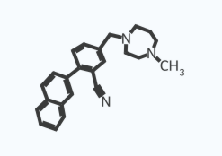 CN1CCCN(Cc2ccc(-c3ccc4ccccc4c3)c(C#N)c2)CC1